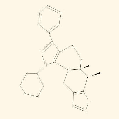 C[C@H]1c2oncc2C[C@@]2(C)c3c(c(-c4ccccc4)nn3C3CCCCC3)CC[C@H]12